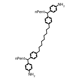 CCCCCC(c1ccc(N)cc1)c1ccc(CCCCCCCCCc2ccc(C(CCCCC)c3ccc(N)cc3)cc2)cc1